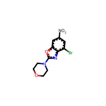 O=[N+]([O-])c1cc(Br)c2nc(N3CCOCC3)oc2c1